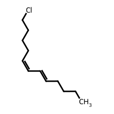 CCCC/C=C/C=C\CCCCCl